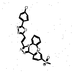 CS(=O)(=O)c1ccc(-c2nnc(C=Cc3nnc(-c4ccc(Cl)cc4)o3)n2-c2ccccc2Cl)nc1